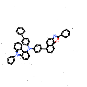 c1ccc(-c2ccc(N(c3ccc(-c4cccc5c4ccc4nc(-c6ccccc6)oc45)cc3)c3cccc4c3c3ccccc3n4-c3ccccc3)cc2)cc1